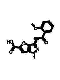 COc1ccccc1C(=O)Nc1n[nH]c2cc(C(=O)O)oc12